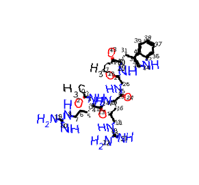 CC(=O)N[C@@H](CCCNC(=N)N)C(=O)N[C@@H](CCCNC(=N)N)C(=O)NCC(=O)N[C@@H](Cc1c[nH]c2ccccc12)C(C)=O